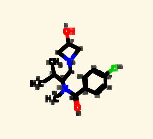 CC(C)C(CN1CC(O)C1)N(C)C(=O)c1ccc(Cl)cc1